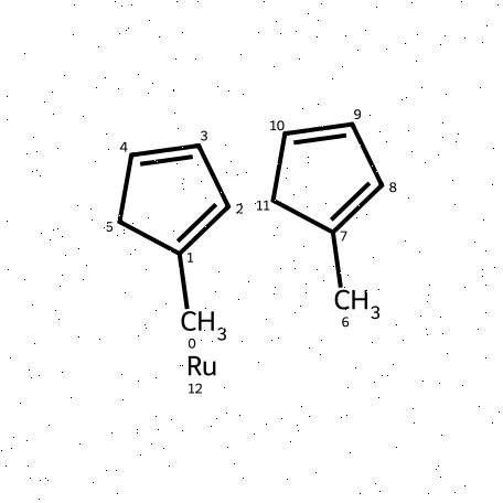 CC1=CC=CC1.CC1=CC=CC1.[Ru]